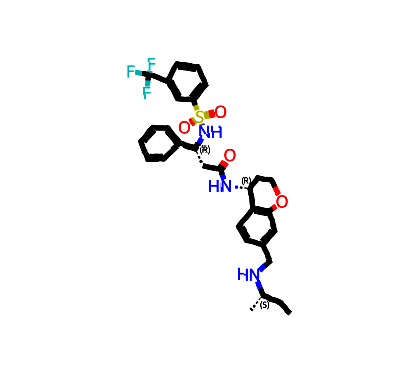 CC[C@H](C)NCc1ccc2c(c1)OCC[C@H]2NC(=O)C[C@@H](NS(=O)(=O)c1cccc(C(F)(F)F)c1)c1ccccc1